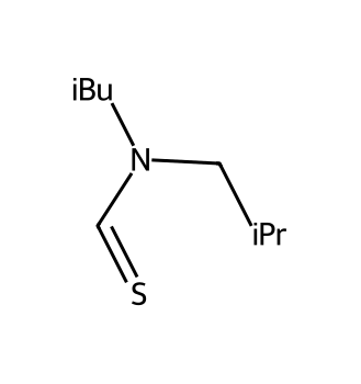 CCC(C)N(C=S)CC(C)C